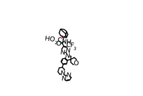 O=C(NC1(C(=O)O)C2CCC3CC(C2)CC1C3)c1cnc(N2CC3(CCOCC3)c3cc(C4CCCN(c5ncccn5)C4)ccc32)nc1C(F)(F)F